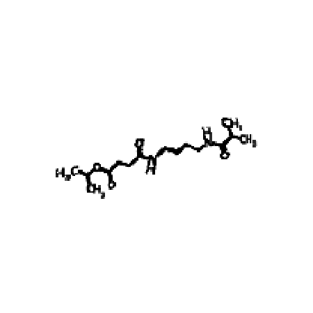 CC(C)OC(=O)CCC(=O)NCCCCNC(=O)C(C)C